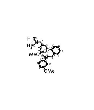 COc1cccc(CCc2ccccc2OCC(CN(C)C)OP(=O)(O)OC)c1